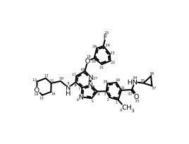 Cc1cc(-c2cnc3c(NCC4CCOCC4)cc(Oc4cccc(F)c4)nn23)ccc1C(=O)NC1CC1